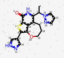 CC(c1[nH]c(=O)c2sc(-c3cn[nH]c3)c3c2c1CCCO3)n1cccn1